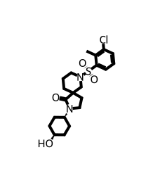 Cc1c(Cl)cccc1S(=O)(=O)N1CCCC2(CCN([C@H]3CC[C@H](O)CC3)C2=O)C1